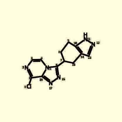 Clc1nccn2c(C3CCc4[nH]ncc4C3)nnc12